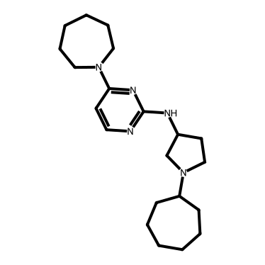 c1cc(N2CCCCCC2)nc(NC2CCN(C3CCCCCC3)C2)n1